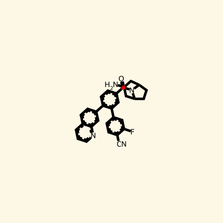 N#Cc1ccc(-c2cc(C(=O)N3C4CCC3CC(N)C4)ccc2-c2ccc3cccnc3c2)cc1F